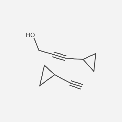 C#CC1CC1.OCC#CC1CC1